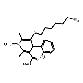 COC(=O)C1=C(C)N(C=O)C(C)=C(OCCCCCCN)C1c1ccccc1[N+](=O)[O-]